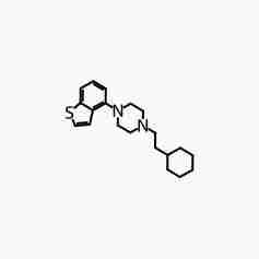 c1cc(N2CCN(CCC3CCCCC3)CC2)c2ccsc2c1